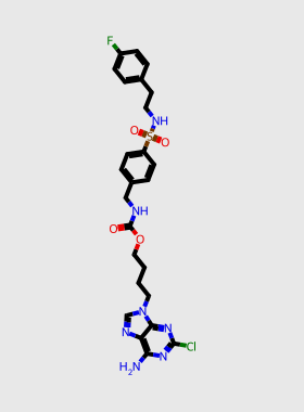 Nc1nc(Cl)nc2c1ncn2CCCCOC(=O)NCc1ccc(S(=O)(=O)NCCc2ccc(F)cc2)cc1